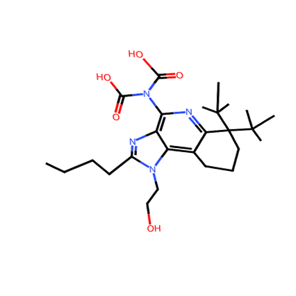 CCCCc1nc2c(N(C(=O)O)C(=O)O)nc3c(c2n1CCO)CCCC3(C(C)(C)C)C(C)(C)C